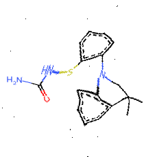 CC1(C)CN(c2ccccc2SNC(N)=O)c2ccccc21